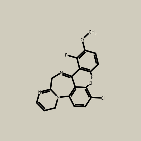 COc1ccc(F)c(C2=NCC3=NC=CCN3c3ccc(Cl)c(Cl)c32)c1F